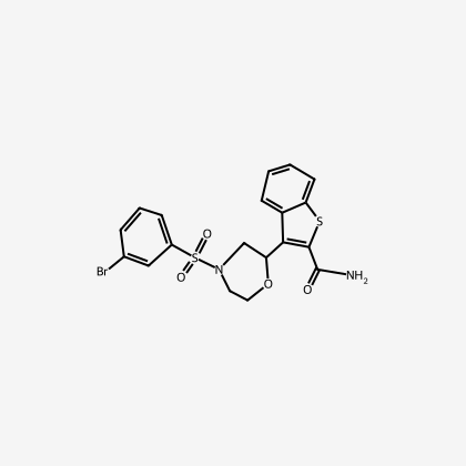 NC(=O)c1sc2ccccc2c1C1CN(S(=O)(=O)c2cccc(Br)c2)CCO1